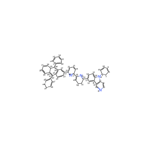 C1=CCC(n2c3ccncc3c3cc(C4=NC(c5cccc(-c6ccc7c(c6)C(c6ccccc6)C6C=CC=CC6=C7C6=CCCC=C6)n5)=CCC4)ccc32)C=C1